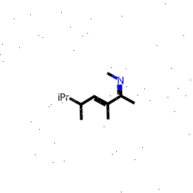 C/N=C(C)\C(C)=C\C(C)C(C)C